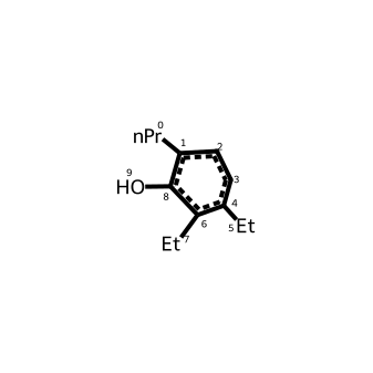 CCCc1ccc(CC)c(CC)c1O